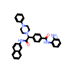 Nc1ccccc1NC(=O)c1ccc(C(C(=O)Nc2ccc3ccccc3c2)N2CCN(c3ccccc3)CC2)cc1